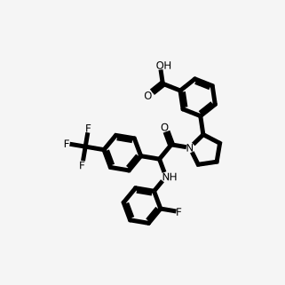 O=C(O)c1cccc(C2CCCN2C(=O)C(Nc2ccccc2F)c2ccc(C(F)(F)F)cc2)c1